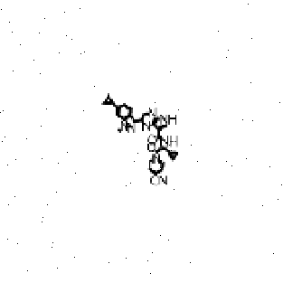 Cn1nc(-c2cnc3[nH]cc(C(=O)N[C@@H](C(=O)N4CCC(C#N)CC4)C4CC4)c3n2)c2ccc(C3CC3)cc21